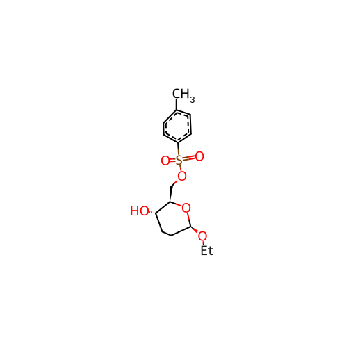 CCO[C@H]1CC[C@H](O)[C@@H](COS(=O)(=O)c2ccc(C)cc2)O1